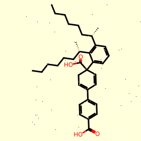 CCCCCC[C@H](C)c1cccc(C2(C(=O)O)C=CC(c3ccc(C(=O)O)cc3)=CC2)c1[C@@H](C)CCCCCC